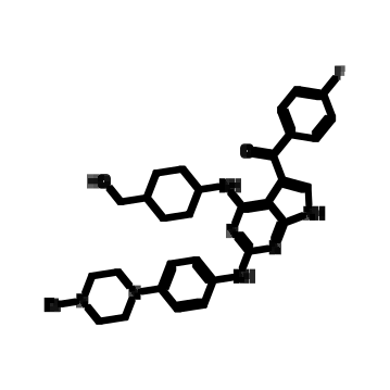 CCN1CCN(c2ccc(Nc3nc(NC4CCC(CO)CC4)c4c(C(=O)c5ccc(F)cc5)c[nH]c4n3)cc2)CC1